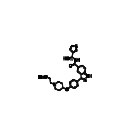 COCCN1CCC(Oc2ccc(-c3n[nH]c4ccc(C(=O)N[C@@H](O)c5ccsc5)cc34)cc2)CC1